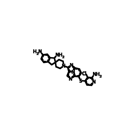 Nc1ccc2c(c1)C(N)C1(CCN(c3nc4ccc(Sc5ccnc(N)c5Cl)c5ncc3n45)CC1)C2